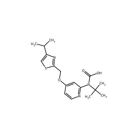 CC(C)c1csc(COc2ccnc(N(C(=O)O)C(C)(C)C)c2)n1